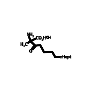 CCCCCCCCCCCC(=O)C(C)(N)C(=O)O.[KH]